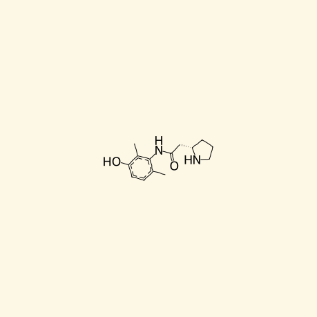 Cc1ccc(O)c(C)c1NC(=O)C[C@@H]1CCCN1